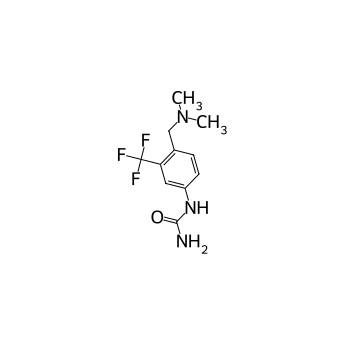 CN(C)Cc1ccc(NC(N)=O)cc1C(F)(F)F